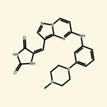 CN1CCN(c2cccc(Nc3ccn4ncc(/C=C5/NC(=O)NC5=O)c4n3)c2)CC1